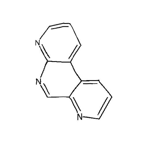 c1cnc2cnc3ncccc3c2c1